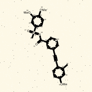 COc1ccc(C#Cc2cncc(C(=O)N=S(C)(=O)c3ccc(OC)c(OC)c3)c2)c(C)c1